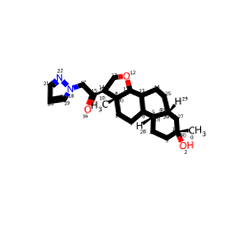 C[C@@]1(O)CC[C@@H]2C3CC[C@@]4(C)C(OC[C@@H]4C(=O)Cn4cccn4)C3CC[C@@H]2C1